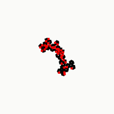 c1ccc(-c2ccc(N(c3ccc4c5ccccc5c5ccccc5c4c3)c3cc4c(cc3-c3ccc(-c5ccc6c(ccc7cc(-c8ccc9c%10ccccc%10c%10cc(N(c%11ccc%12ccccc%12c%11)c%11cc%12c(cc%11-c%11ccc(-c%13ccc%14c(ccc%15ccccc%15%14)c%13)cc%11)-c%11ccccc%11C%12%11c%12ccccc%12-c%12ccccc%12%11)ccc%10c9c8)ccc76)c5)cc3)-c3ccccc3C43c4ccccc4-c4ccccc43)cc2)cc1